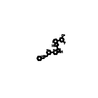 COc1cc(F)cc(-c2ccnc3[nH]c(-c4n[nH]c5ccc(-c6cncc(CNCc7ccccc7)c6)nc45)cc23)c1